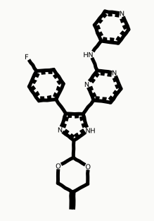 C=C1COC(c2nc(-c3ccc(F)cc3)c(-c3ccnc(Nc4ccncc4)n3)[nH]2)OC1